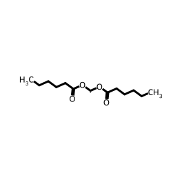 CCCCCC(=O)O[CH]OC(=O)CCCCC